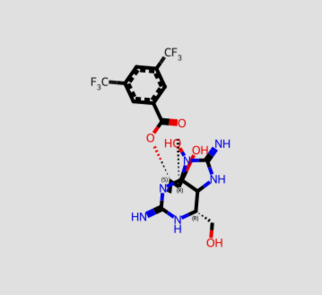 C[C@]1(O)[C@@H](OC(=O)c2cc(C(F)(F)F)cc(C(F)(F)F)c2)CN2C(=N)N[C@@H](CO)C3NC(=N)N(O)C321